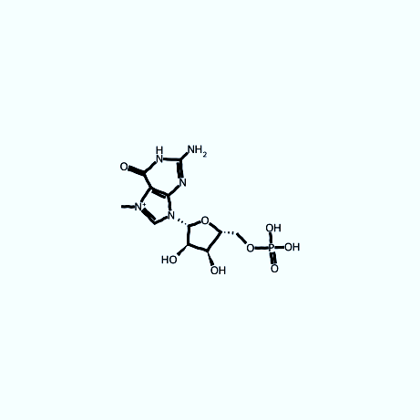 C[n+]1cn([C@@H]2O[C@H](COP(=O)(O)O)[C@@H](O)[C@H]2O)c2nc(N)[nH]c(=O)c21